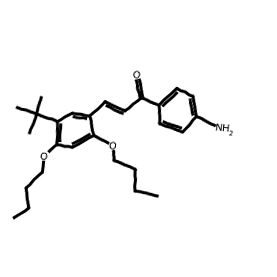 CCCCOc1cc(OCCCC)c(C(C)(C)C)cc1C=CC(=O)c1ccc(N)cc1